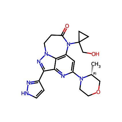 C[C@@H]1COCCN1c1cc2c3c(n1)c(-c1cc[nH]n1)nn3CCC(=O)N2C1(CO)CC1